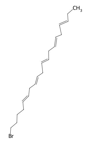 CC/C=C/C/C=C/C/C=C/C/C=C/C/C=C/CCCCBr